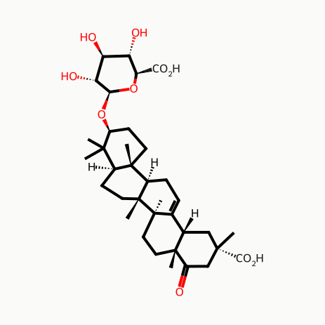 CC1(C)[C@@H](O[C@@H]2O[C@H](C(=O)O)[C@@H](O)[C@H](O)[C@H]2O)CC[C@]2(C)[C@H]3CC=C4[C@@H]5C[C@](C)(C(=O)O)CC(=O)[C@]5(C)CC[C@@]4(C)[C@]3(C)CC[C@@H]12